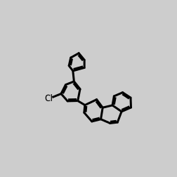 Clc1cc(-c2ccccc2)cc(-c2ccc3ccc4ccccc4c3c2)c1